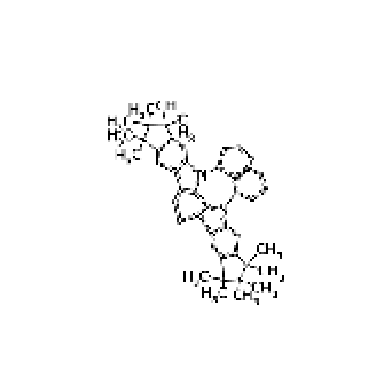 CC1(C)c2cc3c4ccc5c6cc7c(cc6n(-c6ccccc6)c5c4n(-c4ccccc4)c3cc2C(C)(C)C1(C)C)C(C)(C)C(C)(C)C7(C)C